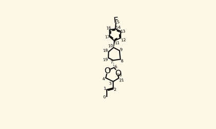 C/C=C/C1COC([C@H]2CC[C@H](c3ccc(F)cc3)CC2)OC1